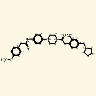 COc1ccc(CC(=O)Nc2ccc(N3CCN(C(=O)Cc4ccc(CN5CCCC5)cc4Cl)CC3)cc2)cc1